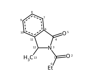 CCC(=O)N1C(=O)c2ccccc2C1C